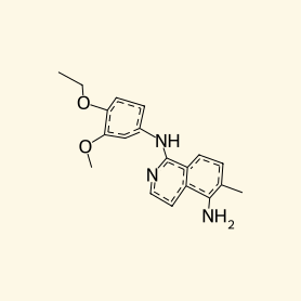 CCOc1ccc(Nc2nccc3c(N)c(C)ccc23)cc1OC